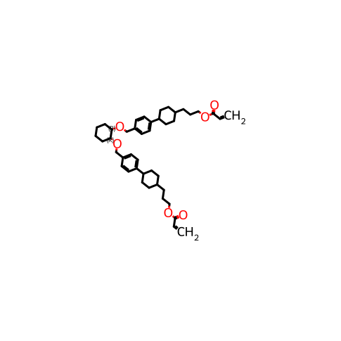 C=CC(=O)OCCCC1CCC(c2ccc(CO[C@@H]3CCCC[C@H]3OCc3ccc(C4CCC(CCCOC(=O)C=C)CC4)cc3)cc2)CC1